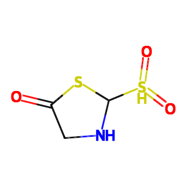 O=C1CNC([SH](=O)=O)S1